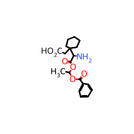 CC(OC(=O)c1ccccc1)OC(=O)C(N)C1(CC(=O)O)CCCCC1